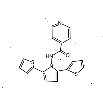 O=C(Nn1c(-c2cccs2)ccc1-c1cccs1)c1ccncc1